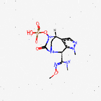 CN/C(=N\OC)[C@@H]1c2c(cnn2C)[C@@H]2CN1C(=O)N2OS(=O)(=O)O